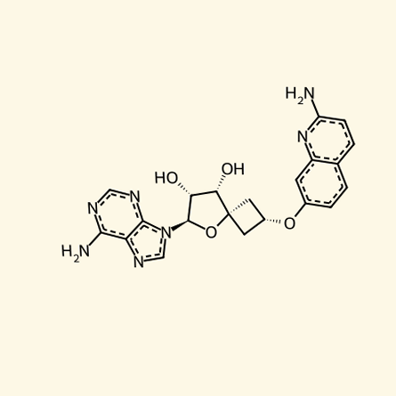 Nc1ccc2ccc(O[C@H]3C[C@]4(C3)O[C@@H](n3cnc5c(N)ncnc53)[C@H](O)[C@@H]4O)cc2n1